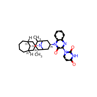 CC1C[C@@H](C)C2C[C@H](n3c(=O)c(-n4ccc(=O)[nH]c4=O)nc4ccccc43)CC1N2[C@@H]1C[C@@H]2CCCC[C@@H](C2)C1